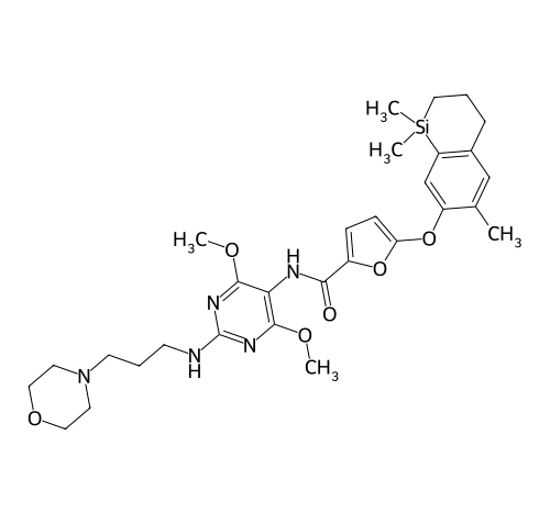 COc1nc(NCCCN2CCOCC2)nc(OC)c1NC(=O)c1ccc(Oc2cc3c(cc2C)CCC[Si]3(C)C)o1